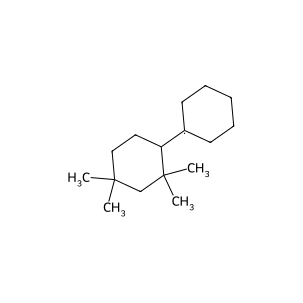 CC1(C)CCC([C]2CCCCC2)C(C)(C)C1